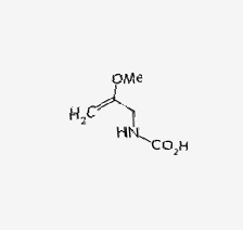 C=C(CNC(=O)O)OC